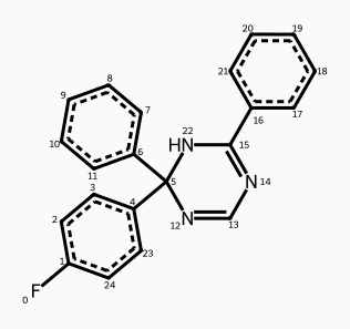 Fc1ccc(C2(c3ccccc3)N=CN=C(c3ccccc3)N2)cc1